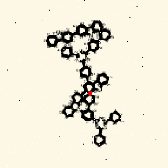 c1ccc(-c2nc(-c3ccccc3)nc(-c3ccc(-n4c5ccccc5c5ccc(-c6cc(-c7ccc(-c8nc(-c9ccccc9)nc(-c9ccc(-c%10ccccc%10)c(-n%10c%11ccccc%11c%11ccc(-c%12ccc%13c(c%12)oc%12ccccc%12%13)cc%11%10)c9)n8)cc7)c7c(c6)oc6ccccc67)cc54)c(-c4ccccc4)c3)n2)cc1